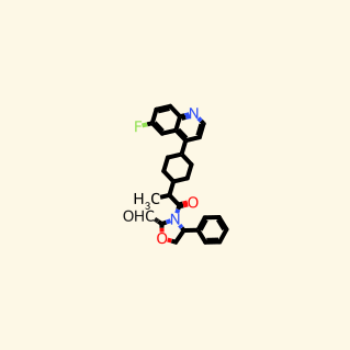 CC(C(=O)N1C(C=O)OCC1c1ccccc1)C1CCC(c2ccnc3ccc(F)cc23)CC1